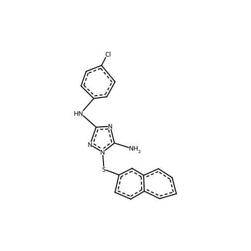 Nc1nc(Nc2ccc(Cl)cc2)nn1Sc1ccc2ccccc2c1